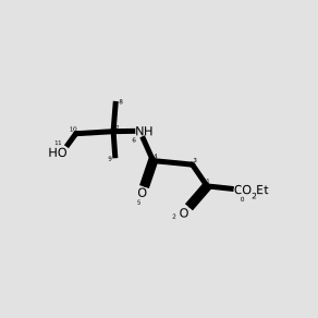 CCOC(=O)C(=O)CC(=O)NC(C)(C)CO